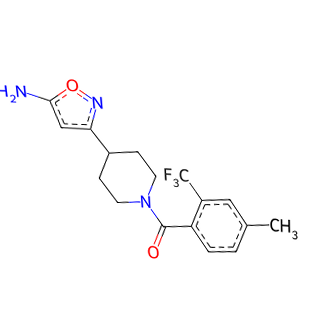 Cc1ccc(C(=O)N2CCC(c3cc(N)on3)CC2)c(C(F)(F)F)c1